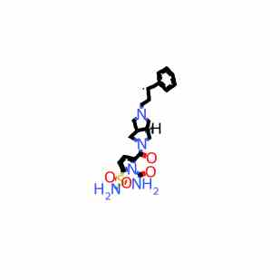 NC(=O)n1c(C(=O)N2CC3CN(CC[CH]c4ccccc4)C[C@H]3C2)ccc1S(N)(=O)=O